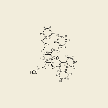 C=CC[C@@H]1O[C@H](COCc2ccccc2)[C@@H](OCc2ccccc2)[C@H](OCc2ccccc2)[C@H]1OCc1ccccc1